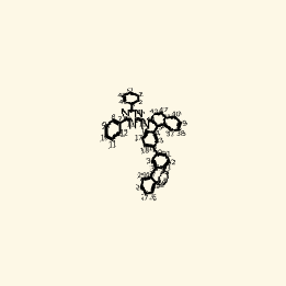 c1ccc(-c2nc(-c3ccccc3)nc(-n3c4ccc(-c5ccc6oc7ccccc7c6c5)cc4c4c5ccccc5ccc43)n2)cc1